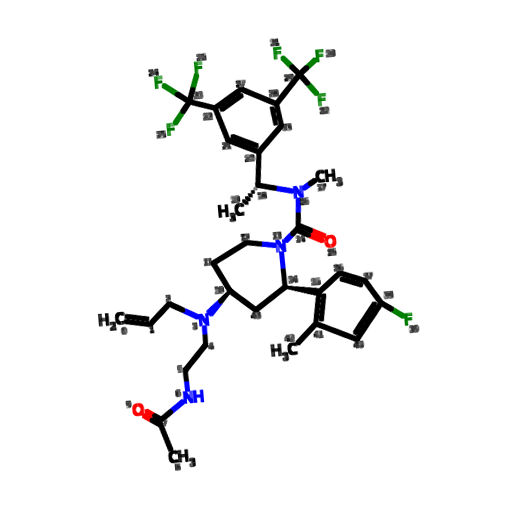 C=CCN(CCNC(C)=O)[C@H]1CCN(C(=O)N(C)[C@H](C)c2cc(C(F)(F)F)cc(C(F)(F)F)c2)[C@@H](c2ccc(F)cc2C)C1